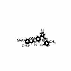 COc1cc(OC)c(CC(=O)Nc2ccc(-c3n[nH]cc3-c3nc4c(C)ccc(C(C)C)c4o3)cc2)c(OC)c1